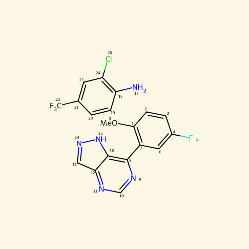 COc1ccc(F)cc1-c1ncnc2cn[nH]c12.Nc1ccc(C(F)(F)F)cc1Cl